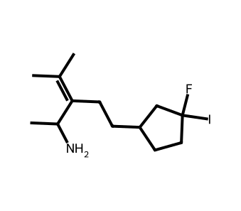 CC(C)=C(CCC1CCC(F)(I)C1)C(C)N